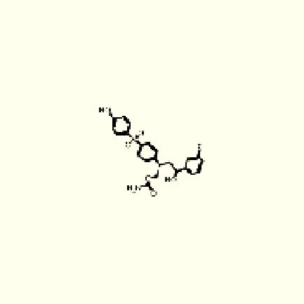 NC(=O)OC[C@H](CC(O)c1cccc(Cl)c1)c1ccc(S(=O)(=O)c2ccc(O)cc2)cc1